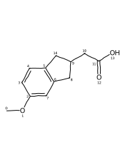 COc1ccc2c(c1)CC(CC(=O)O)C2